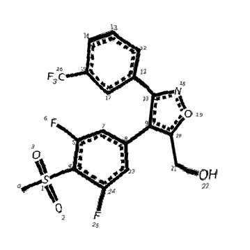 CS(=O)(=O)c1c(F)cc(-c2c(-c3cccc(C(F)(F)F)c3)noc2CO)cc1F